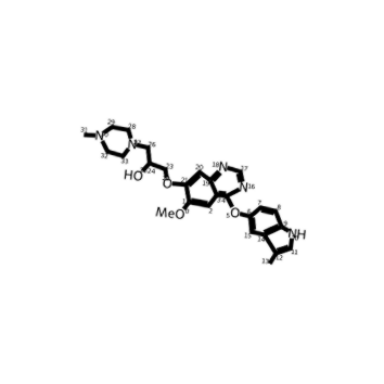 COc1cc2c(Oc3ccc4[nH]cc(C)c4c3)ncnc2cc1OCC(O)CN1CCN(C)CC1